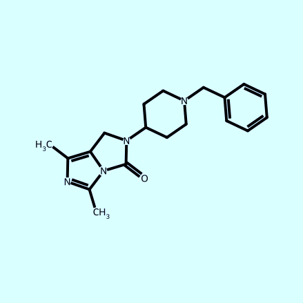 Cc1nc(C)n2c1CN(C1CCN(Cc3ccccc3)CC1)C2=O